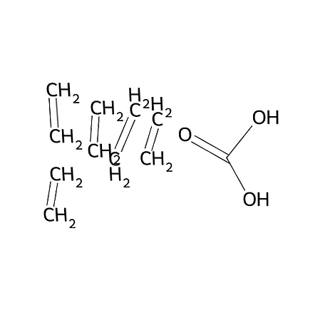 C=C.C=C.C=C.C=C.C=C.O=C(O)O